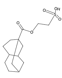 O=C(OCCS(=O)(=O)O)C12CCC3CCC(CC3C1)C2